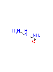 CC(=O)C(N)CCCNCCCN